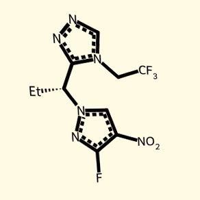 CC[C@H](c1nncn1CC(F)(F)F)n1cc([N+](=O)[O-])c(F)n1